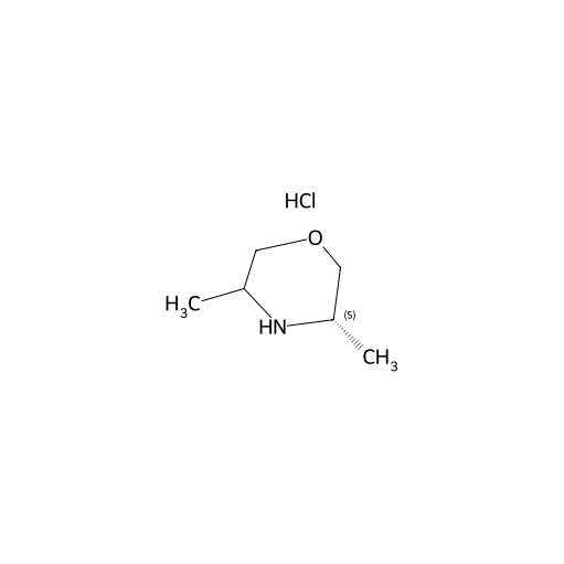 CC1COC[C@H](C)N1.Cl